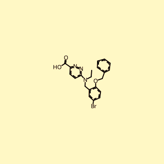 CCN(Cc1cc(Br)ccc1OCc1ccccc1)c1ccc(C(=O)O)nn1